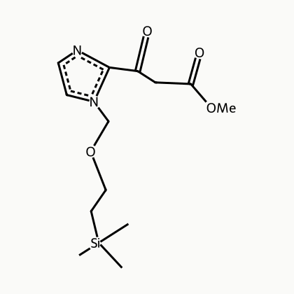 COC(=O)CC(=O)c1nccn1COCC[Si](C)(C)C